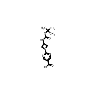 CC(C)(C)OC(=O)NC1CN(c2ncc(C(=O)O)cn2)C1